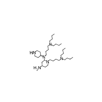 CCCCN(CCCC)CCCCN1CCC(N)CC1N(CCCCN(CCCC)CCCC)C1CCNCC1